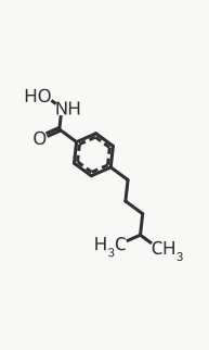 CC(C)CCCc1ccc(C(=O)NO)cc1